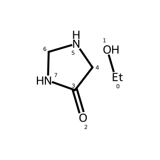 CCO.O=C1CNCN1